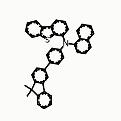 CC1(C)c2ccccc2-c2cc(-c3ccc(N(c4cccc5ccccc45)c4cccc5c4sc4ccccc45)cc3)ccc21